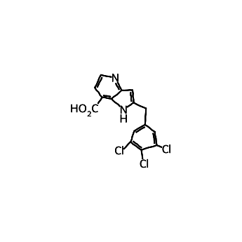 O=C(O)c1ccnc2cc(Cc3cc(Cl)c(Cl)c(Cl)c3)[nH]c12